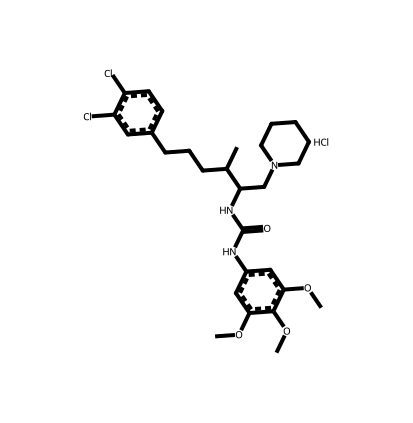 COc1cc(NC(=O)NC(CN2CCCCC2)C(C)CCCc2ccc(Cl)c(Cl)c2)cc(OC)c1OC.Cl